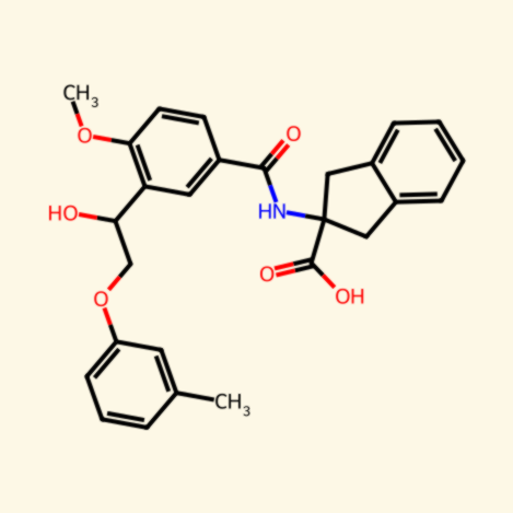 COc1ccc(C(=O)NC2(C(=O)O)Cc3ccccc3C2)cc1C(O)COc1cccc(C)c1